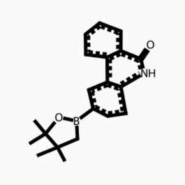 CC1(C)CB(c2ccc3[nH]c(=O)c4ccccc4c3c2)OC1(C)C